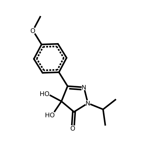 COc1ccc(C2=NN(C(C)C)C(=O)C2(O)O)cc1